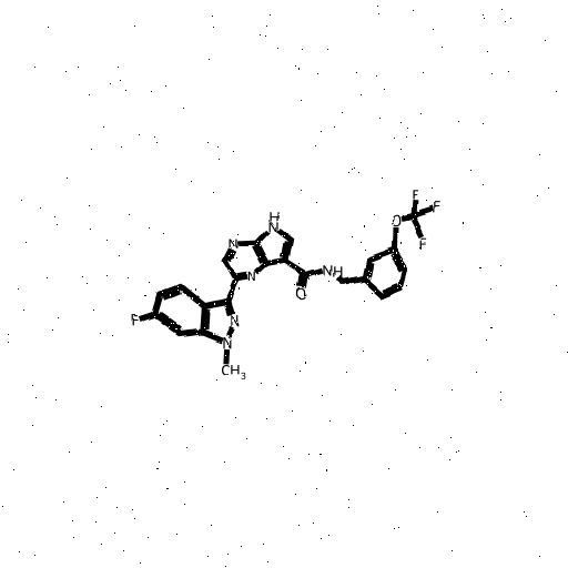 Cn1nc(-c2cnc3[nH]cc(C(=O)NCc4cccc(OC(F)(F)F)c4)c3n2)c2ccc(F)cc21